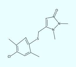 Cc1cc(SCc2cc(=O)n(C)n2C)c(C)cc1Cl